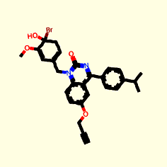 C#CCOc1ccc2c(c1)c(-c1ccc(C(C)C)cc1)nc(=O)n2CC1=CCC(O)(Br)C(OC)=C1